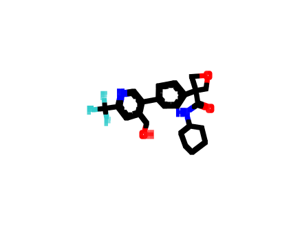 O=C(NC1CCCCC1)C1(c2ccc(-c3cnc(C(F)(F)F)cc3CO)cc2)COC1